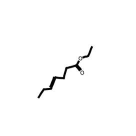 CCC=CCCC(=O)OCC